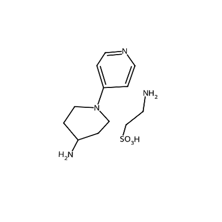 NC1CCN(c2ccncc2)CC1.NCCS(=O)(=O)O